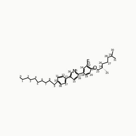 CCCCCCCCCCc1ccc(-c2ccc(-c3ccc(OC[C@@H](C)CCCC(C)C)c(F)c3)nc2)cc1